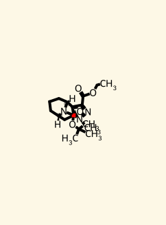 CCOC(=O)c1nn(C)c2c1[C@H]1CCC[C@@H](C2)N1C(=O)OC(C)(C)C